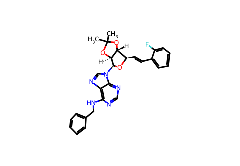 CC1(C)O[C@H]2[C@H](O1)[C@@H](C=Cc1ccccc1F)O[C@H]2n1cnc2c(NCc3ccccc3)ncnc21